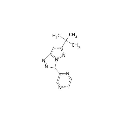 CC(C)(C)c1cc2n(n1)C(c1cnccn1)N=N2